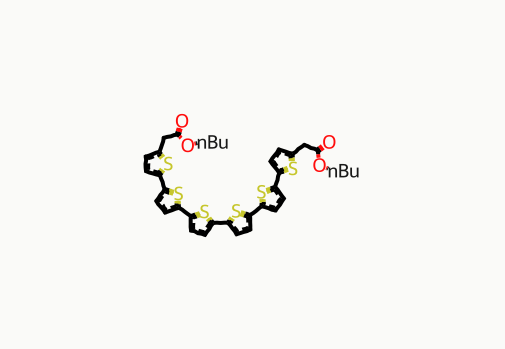 CCCCOC(=O)Cc1ccc(-c2ccc(-c3ccc(-c4ccc(-c5ccc(-c6ccc(CC(=O)OCCCC)s6)s5)s4)s3)s2)s1